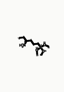 [CH2]CC(N)CCC[Si](OC)(OC)OC